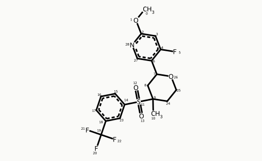 COc1cc(F)c(C2CC(C)(S(=O)(=O)c3cccc(C(F)(F)F)c3)CCO2)cn1